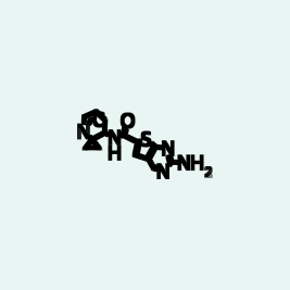 Nc1ncc2cc(C(=O)NC3C4CCN(CC4)C34CC4)sc2n1